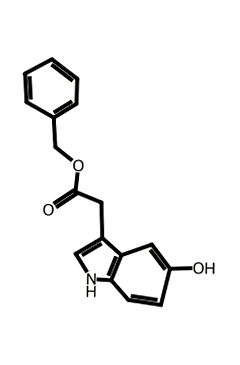 O=C(Cc1c[nH]c2ccc(O)cc12)OCc1ccccc1